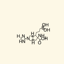 N=C(N)N1C[C@@H]2CC(N)(C(=O)O)C(CCCB(O)O)[C@@H]2C1